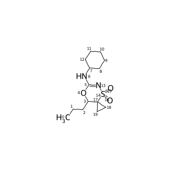 CCCC1OC(NC2CCCCC2)=NS(=O)(=O)C12CC2